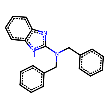 c1ccc(CN(Cc2ccccc2)c2nc3ccccc3[nH]2)cc1